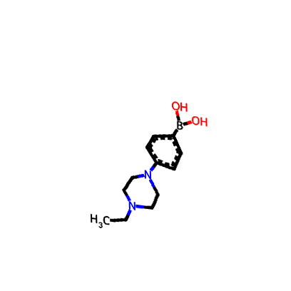 CCN1CCN(c2ccc(B(O)O)cc2)CC1